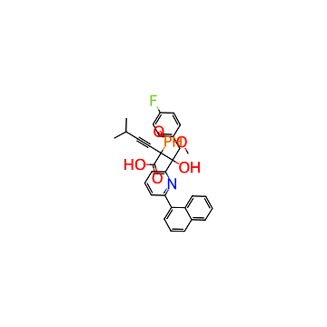 CO[PH](=O)C(C#CC(C)C)(C(=O)O)C(O)(Cc1ccc(F)cc1)c1cccc(-c2cccc3ccccc23)n1